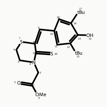 COC(=O)CN1CCS/C(=C/c2cc(C(C)(C)C)c(O)c(C(C)(C)C)c2)C1=S